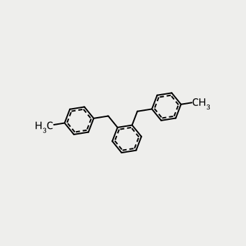 Cc1ccc(Cc2ccccc2Cc2ccc(C)cc2)cc1